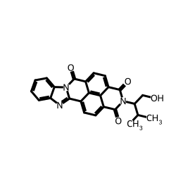 CC(C)C(CO)N1C(=O)c2ccc3c(=O)n4c5ccccc5nc4c4ccc(c2c34)C1=O